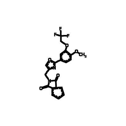 COc1ccc(-c2nc(CN3C(=O)c4ccccc4C3=O)co2)cc1OCC(F)(F)F